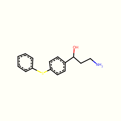 NCCC(O)c1ccc(Sc2ccccc2)cc1